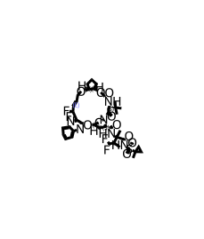 CC(C(F)F)C(C)(NC(=O)[C@@H]1C[C@@H]2CN1C(=O)[C@H](C(C)(C)C)NC(=O)O[C@@H]1CCC[C@H]1OC/C=C/C(F)(F)c1nc3ccccc3nc1O2)C(=O)NS(=O)(=O)C1(C)CC1